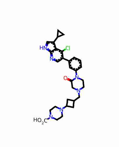 O=C(O)N1CCN(C2CC(CN3CCN(c4cccc(-c5cnc6[nH]cc(C7CC7)c6c5Cl)c4)C(=O)C3)C2)CC1